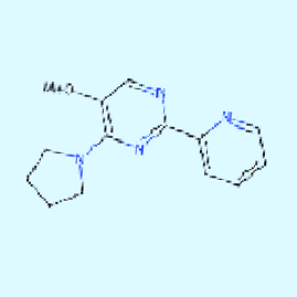 COc1cnc(-c2ccccn2)nc1N1CCCC1